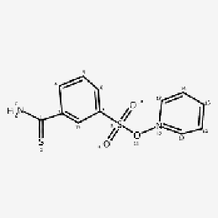 NC(=S)c1cccc(S(=O)(=O)O[n+]2ccccc2)c1